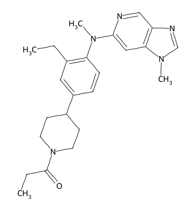 CCC(=O)N1CCC(c2ccc(N(C)c3cc4c(cn3)ncn4C)c(CC)c2)CC1